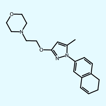 Cc1cc(OCCN2CCOCC2)nn1-c1ccc2c(c1)C=CCC2